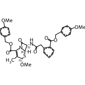 COc1ccc(COC(=O)C2=C(C)[C@@H](OC)S[C@@H]3[C@@H](NC(=O)Cc4ccccc4C(=O)OCc4ccc(OC)cc4)C(=O)N23)cc1